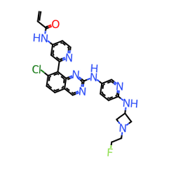 C=CC(=O)Nc1ccnc(-c2c(Cl)ccc3cnc(Nc4ccc(NC5CN(CCF)C5)nc4)nc23)c1